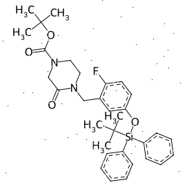 CC(C)(C)OC(=O)N1CCN(Cc2cc(O[Si](c3ccccc3)(c3ccccc3)C(C)(C)C)ccc2F)C(=O)C1